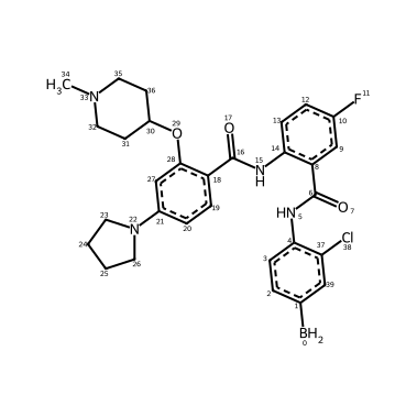 Bc1ccc(NC(=O)c2cc(F)ccc2NC(=O)c2ccc(N3CCCC3)cc2OC2CCN(C)CC2)c(Cl)c1